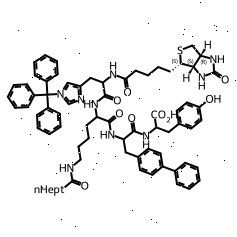 CCCCCCCC(=O)NCCCCC(NC(=O)C(Cc1cn(C(c2ccccc2)(c2ccccc2)c2ccccc2)cn1)NC(=O)CCCC[C@@H]1SC[C@@H]2NC(=O)N[C@@H]21)C(=O)NC(Cc1ccc(-c2ccccc2)cc1)C(=O)NC(Cc1ccc(O)cc1)C(=O)O